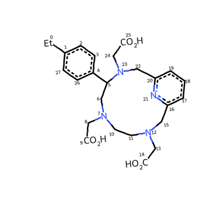 CCc1ccc(C2CN(CC(=O)O)CCN(CC(=O)O)Cc3cccc(n3)CN2CC(=O)O)cc1